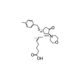 Cc1ccc(CS[C@@H]2CC(=O)[C@@H](N3CCOCC3)[C@@H]2C/C=C\CCCC(=O)O)cc1